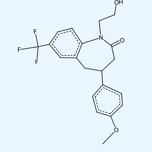 COc1ccc(C2CC(=O)N(CCO)c3ccc(C(F)(F)F)cc3C2)cc1